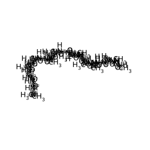 CC(=O)Nc1cn(C)c(C(=O)Nc2cc(C(=O)NCCC(=O)Nc3cn(C)c(C(=O)Nc4cn(C)c(C(=O)Nc5cc(C(=O)Nc6cn(C)c(C(=O)NCCCC(=O)Nc7cc(C(=O)Nc8cn(C)c(C(=O)NCCC(=O)Nc9cc(C(=O)Nc%10cc(C(=O)Nc%11ccc%12[nH]c(C(=O)NCCC(=O)NCCCN(C)C)cc%12c%11)n(C)c%10)n(C)c9)n8)n(C)c7)n6)n(C)c5)n4)n3)n(C)c2)n1